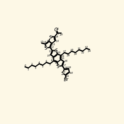 CCCCCCCCc1c2cc(-c3sc(C)c4sc(C(C)=O)cc34)sc2c(CCCCCCCC)c2cc(-c3ccc(Br)s3)sc12